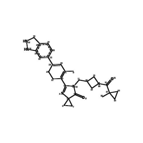 CC1=C(C2=NC3(CC3)C(=O)N2CC2CN(C(=O)C3(C)CC3)C2)CCC(c2ccc3c(c2)NNC3)=C1